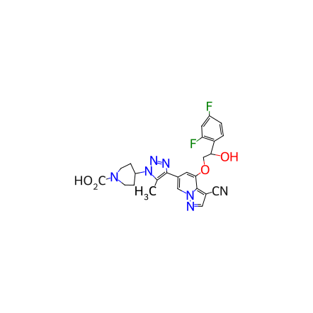 Cc1c(-c2cc(OCC(O)c3ccc(F)cc3F)c3c(C#N)cnn3c2)nnn1C1CCN(C(=O)O)CC1